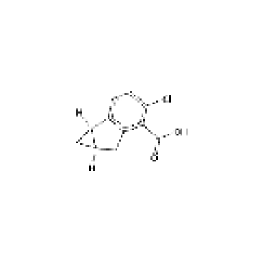 O=C(O)c1c(Cl)ccc2c1C[C@H]1C[C@@H]21